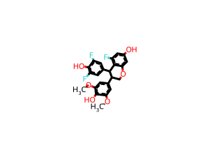 COc1cc(C2COc3cc(O)cc(F)c3C2c2cc(F)c(O)c(F)c2)cc(OC)c1O